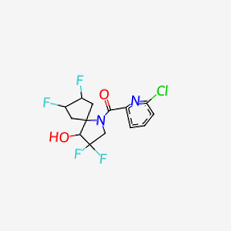 O=C(c1cccc(Cl)n1)N1CC(F)(F)C(O)C12CC(F)C(F)C2